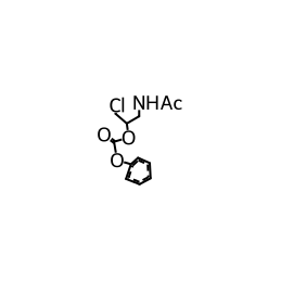 CC(=O)NCC(CCl)OC(=O)Oc1ccccc1